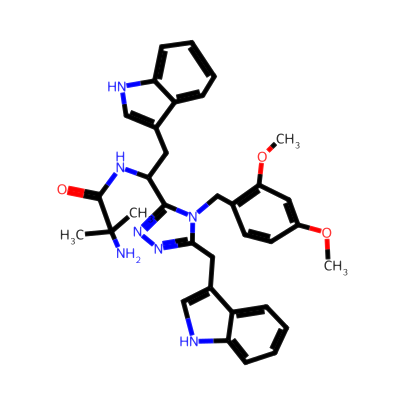 COc1ccc(Cn2c(Cc3c[nH]c4ccccc34)nnc2C(Cc2c[nH]c3ccccc23)NC(=O)C(C)(C)N)c(OC)c1